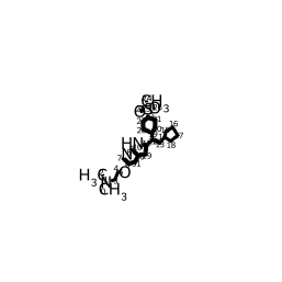 CN(C)CCOc1cnc2[nH]c(/C(=C/C3CCCC3)c3ccc(S(C)(=O)=O)cc3)cc2c1